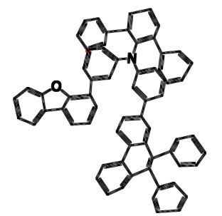 c1ccc(-c2cccc(-c3ccccc3)c2N(c2cccc(-c3ccc4c(c3)c(-c3ccccc3)c(-c3ccccc3)c3ccccc34)c2)c2cccc(-c3cccc4c3oc3ccccc34)c2)cc1